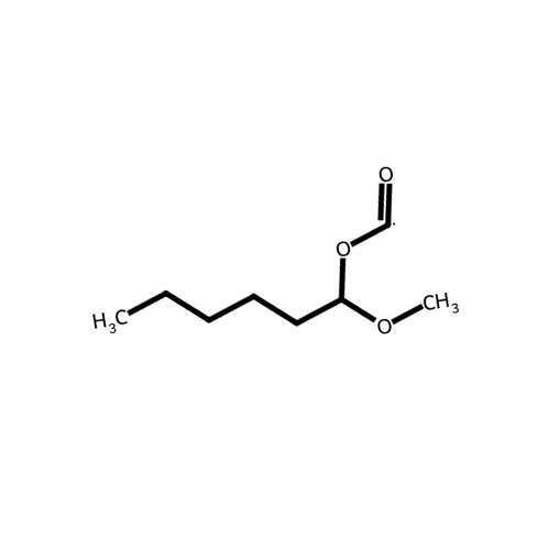 CCCCCC(OC)O[C]=O